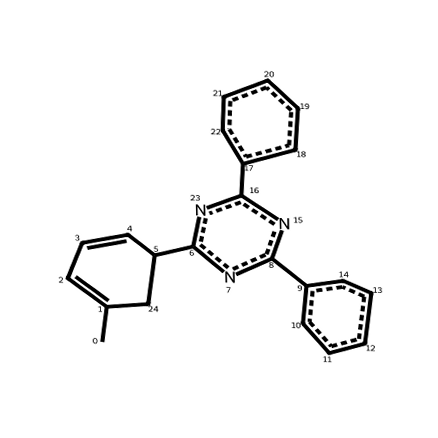 CC1=CC=CC(c2nc(-c3ccccc3)nc(-c3ccccc3)n2)C1